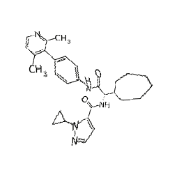 Cc1ccnc(C)c1-c1ccc(NC(=O)[C@@H](NC(=O)c2ccnn2C2CC2)C2CCCCCC2)cc1